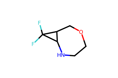 FC1(F)C2COCCNC21